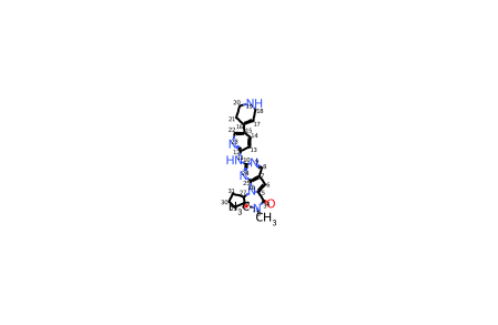 CN(C)C(=O)c1cc2cnc(Nc3ccc(C4=CCNCC4)cn3)nc2n1C1CCCC1